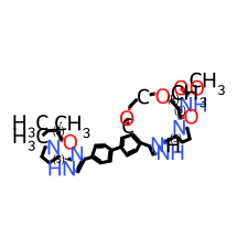 COC(=O)N[C@@H]1C(=O)N2CCC[C@H]2c2nc(c[nH]2)-c2ccc(-c3ccc(-c4c[nH]c([C@@H]5CCCN5C(=O)[C@@H](C)C(C)C)n4)cc3)cc2COCCCCO[C@@H]1C